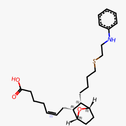 O=C(O)CCC/C=C\C[C@@H]1[C@H](CCCCSCCNc2ccccc2)[C@@H]2CC[C@H]1O2